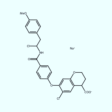 COc1ccc(CC(Cl)NC(=O)c2ccc(Oc3cc4c(cc3Cl)C(C(=O)[O-])CCO4)cc2)cc1.[Na+]